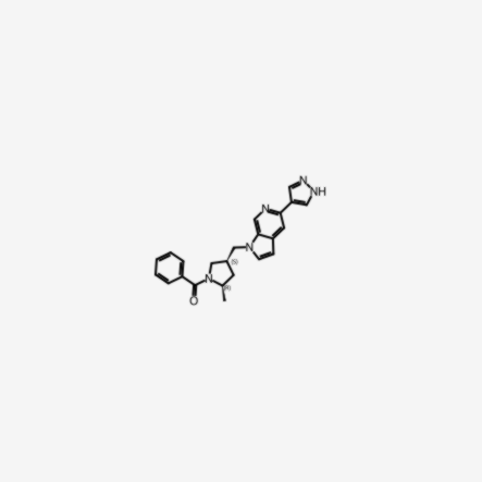 C[C@@H]1C[C@H](Cn2ccc3cc(-c4cn[nH]c4)ncc32)CN1C(=O)c1ccccc1